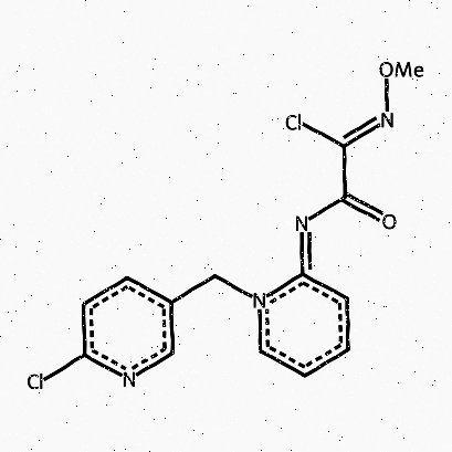 CON=C(Cl)C(=O)/N=c1\ccccn1Cc1ccc(Cl)nc1